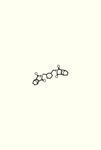 O=C1C2C3CCC(O3)C2C(=O)N1CC1CCCC(CN2C(=O)C3C4CCC(O4)C3C2=O)C1